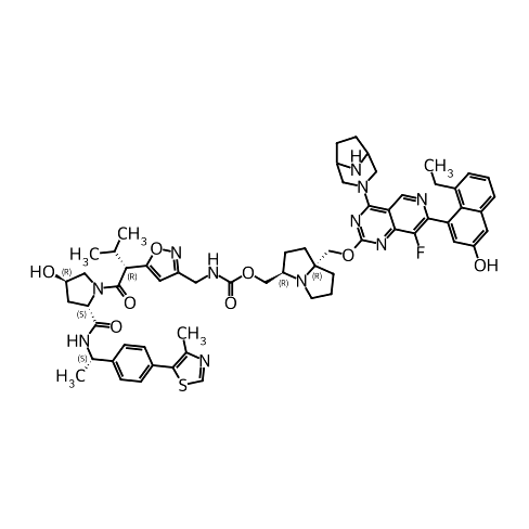 CCc1cccc2cc(O)cc(-c3ncc4c(N5CC6CCC(C5)N6)nc(OC[C@]56CCCN5[C@@H](COC(=O)NCc5cc([C@H](C(=O)N7C[C@H](O)C[C@H]7C(=O)N[C@@H](C)c7ccc(-c8scnc8C)cc7)C(C)C)on5)CC6)nc4c3F)c12